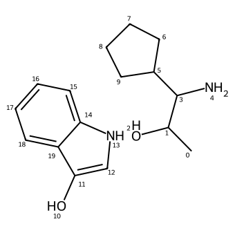 CC(O)C(N)C1CCCC1.Oc1c[nH]c2ccccc12